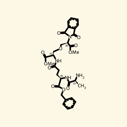 COC(=O)[C@H](COC[C@H](C(=O)OC)N1C(=O)c2ccccc2C1=O)NC(=O)CC[C@@H](NC(=O)[C@H](C)N)C(=O)OCc1ccccc1